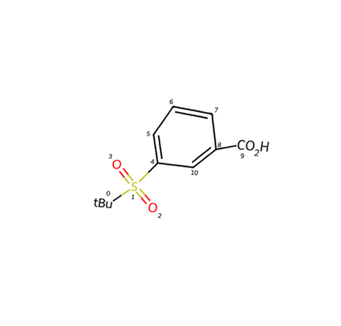 CC(C)(C)S(=O)(=O)c1cccc(C(=O)O)c1